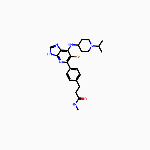 CNC(=O)CCc1ccc(-c2nc3[nH]cnc3c(NC3CCN(C(C)C)CC3)c2Br)cc1